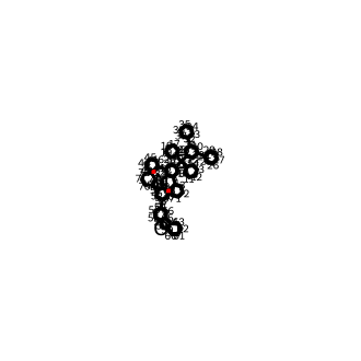 c1cccc(-c2cc(S(c3ccccc3)(c3ccccc3)c3cc(-c4ccccc4)cc(-c4ccccc4)c3)cc(-c3ccccc3)c2-n2c3c(c4cc(-c5ccc6oc7ccccc7c6c5)ccc42)C=CCC3)c#1